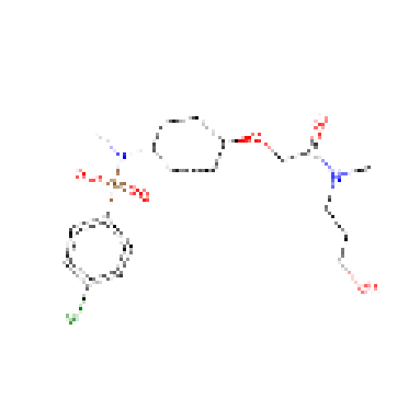 CN(CCCO)C(=O)CO[C@H]1CC[C@H](N(C)S(=O)(=O)c2ccc(Br)cc2)CC1